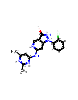 Cc1cc(Nc2cc3c(cn2)c(=O)[nH]n3-c2ccccc2Cl)nc(C)n1